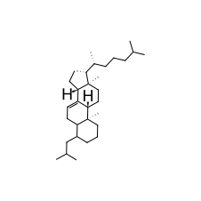 CC(C)CCC[C@@H](C)[C@H]1CC[C@H]2C3=CCC4C(CC(C)C)CCC[C@]4(C)[C@H]3CC[C@]12C